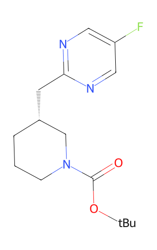 CC(C)(C)OC(=O)N1CCC[C@H](Cc2ncc(F)cn2)C1